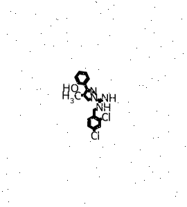 CC1CN(C(=N)NCc2ccc(Cl)cc2Cl)N=C1c1ccccc1O